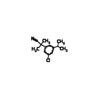 CC(C)c1cc(Cl)cc(C(C)(C)C#N)c1